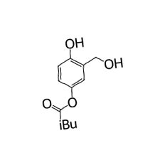 CCC(C)C(=O)Oc1ccc(O)c(CO)c1